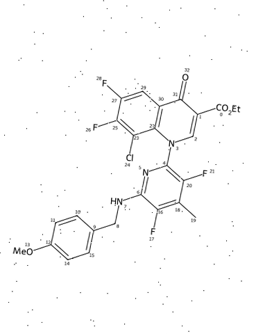 CCOC(=O)c1cn(-c2nc(NCc3ccc(OC)cc3)c(F)c(C)c2F)c2c(Cl)c(F)c(F)cc2c1=O